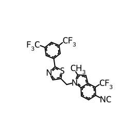 [C-]#[N+]c1ccc2c(cc(C)n2Cc2cnc(-c3cc(C(F)(F)F)cc(C(F)(F)F)c3)s2)c1C(F)(F)F